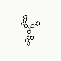 c1ccc(-c2ccc(N(c3ccc(-c4cc5ccc6ccccc6c5c5ccccc45)cc3)c3ccc4oc5cc6ccccc6cc5c4c3)cc2)cc1